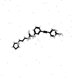 Nc1ncc(C#Cc2cccc(NC(=O)NCCCN3CCCC3)c2)cn1